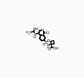 Cl.N=C(N)N(Cl)c1cncc2cc(S(=O)(=O)NC3(C(=O)O)CCC3)ccc12